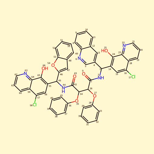 O=C(NC(c1cnc2ccccc2c1)c1cc(Cl)c2cccnc2c1O)C(Oc1ccccc1)C(Oc1ccccc1)C(=O)NC(c1cc2ccccc2o1)c1cc(Cl)c2cccnc2c1O